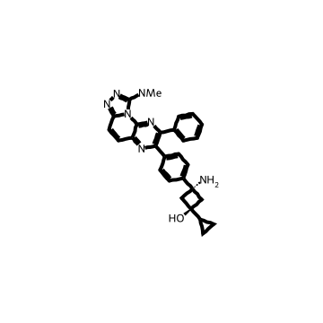 CNc1nnc2ccc3nc(-c4ccc([C@]5(N)C[C@@](O)(C6CC6)C5)cc4)c(-c4ccccc4)nc3n12